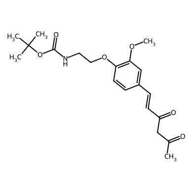 COc1cc(/C=C/C(=O)CC(C)=O)ccc1OCCNC(=O)OC(C)(C)C